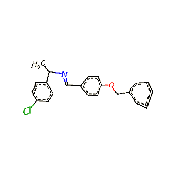 CC(N=Cc1ccc(OCc2ccccc2)cc1)c1ccc(Cl)cc1